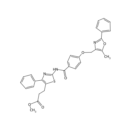 COC(=O)CCc1sc(NC(=O)c2ccc(OCc3nc(-c4ccccc4)oc3C)cc2)nc1-c1ccccc1